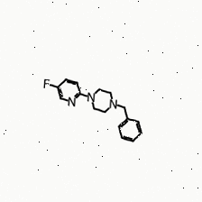 Fc1ccc(N2CCN(Cc3ccccc3)CC2)nc1